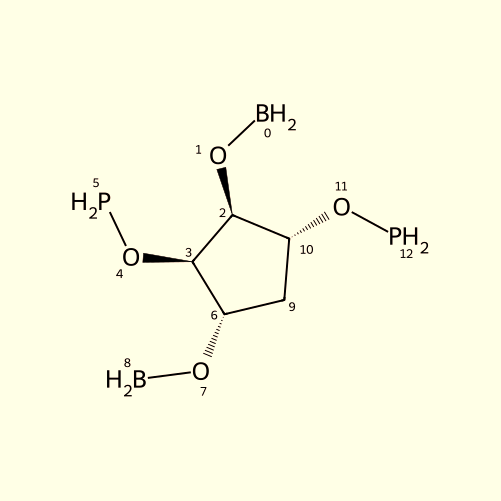 BO[C@@H]1[C@H](OP)[C@@H](OB)C[C@H]1OP